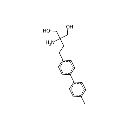 Cc1ccc(-c2ccc(CCC(N)(CO)CO)cc2)cc1